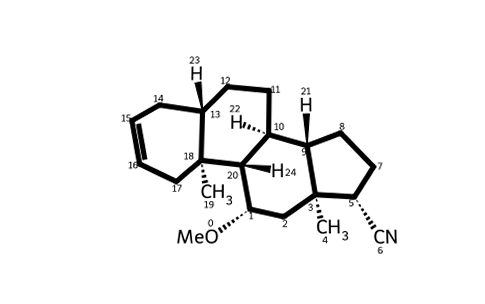 CO[C@H]1C[C@]2(C)[C@@H](C#N)CC[C@H]2[C@@H]2CC[C@H]3CC=CC[C@]3(C)[C@H]21